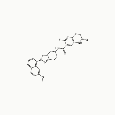 COc1ccc2nccc(-n3cc4c(n3)CCC(NC(=O)c3cc5c(cc3F)SCC(=O)N5)C4)c2c1